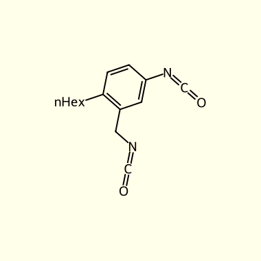 CCCCCCc1ccc(N=C=O)cc1CN=C=O